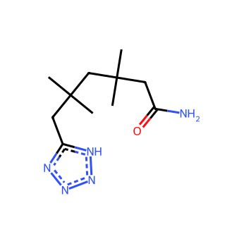 CC(C)(CC(N)=O)CC(C)(C)Cc1nnn[nH]1